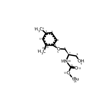 Cc1ccc(OC[C@@H](CO)NC(=O)OC(C)(C)C)c(C)c1